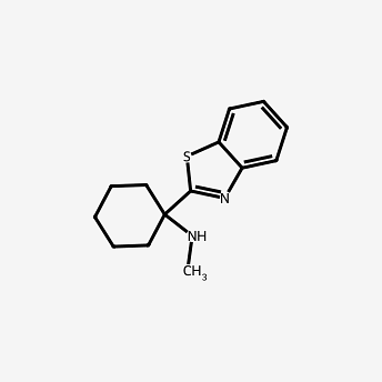 CNC1(c2nc3ccccc3s2)CCCCC1